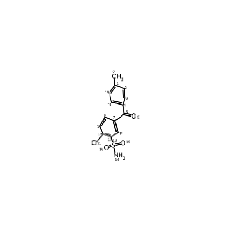 Cc1ccc(C(=O)c2ccc(Cl)c(S(N)(=O)=O)c2)cc1